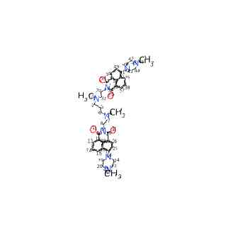 CN(CCCN(C)CCN1C(=O)c2cccc3c(N4CCN(C)CC4)ccc(c23)C1=O)CCN1C(=O)c2cccc3c(N4CCN(C)CC4)ccc(c23)C1=O